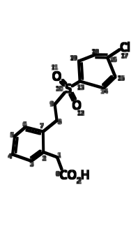 O=C(O)Cc1ccccc1CCS(=O)(=O)c1ccc(Cl)cc1